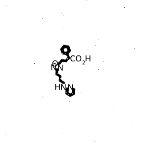 O=C(O)C(CCc1nc(CCCCNc2ccccn2)no1)c1ccccc1